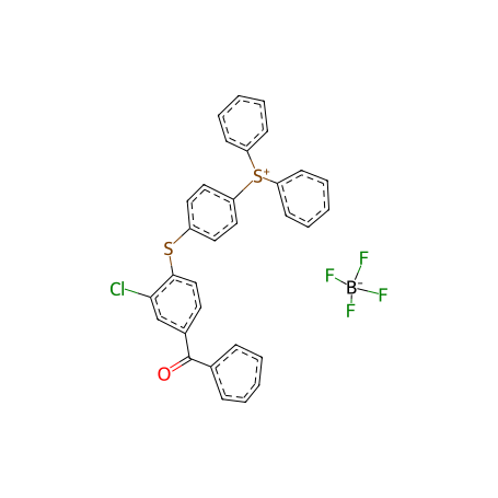 F[B-](F)(F)F.O=C(c1ccccc1)c1ccc(Sc2ccc([S+](c3ccccc3)c3ccccc3)cc2)c(Cl)c1